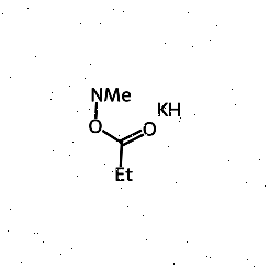 CCC(=O)ONC.[KH]